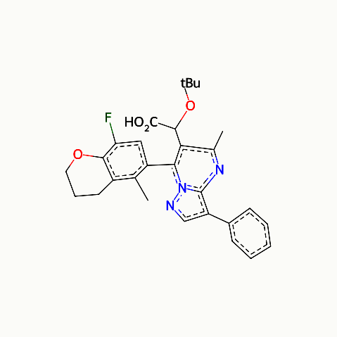 Cc1nc2c(-c3ccccc3)cnn2c(-c2cc(F)c3c(c2C)CCCO3)c1C(OC(C)(C)C)C(=O)O